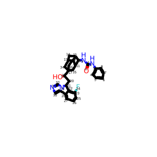 O=C(Nc1ccccc1)NC1C2CC3CC1CC(C(O)CC1c4c(F)cccc4-c4cncn41)(C3)C2